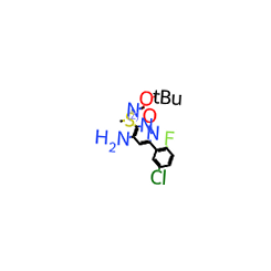 C/S(=N/C(=O)OC(C)(C)C)c1nnc(-c2cc(Cl)ccc2F)cc1N